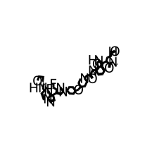 CNC(=O)C(CCC=O)c1noc2c(NC(=O)CN3CCC(OC4CCC(n5cc(-c6cnn7ccc(NC[C@H]8CCO8)nc67)c(C(F)F)n5)CC4)CC3)cccc12